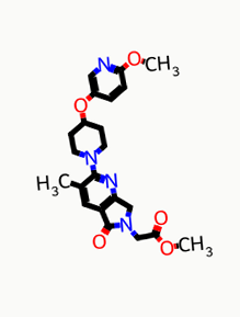 COC(=O)CN1Cc2nc(N3CCC(Oc4ccc(OC)nc4)CC3)c(C)cc2C1=O